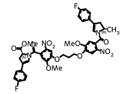 COC(=O)[C@@H]1CC(c2ccc(F)cc2)=CN1C(=O)c1cc(OC)c(OCCCOc2cc([N+](=O)[O-])c(C(=O)N3C=C(c4ccc(F)cc4)C[C@H]3C)cc2OC)cc1[N+](=O)[O-]